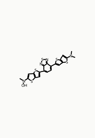 CN(C)c1cc2sc(-c3ccc(-c4cc5sc(N(C)O)cc5s4)c4nsnc34)cc2s1